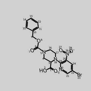 O=C(O)C1CN(C(=O)OCc2ccccc2)CCN1c1ncc(Br)cc1[N+](=O)[O-]